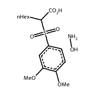 CCCCCCC(C(=O)O)S(=O)(=O)c1ccc(OC)c(OC)c1.NO